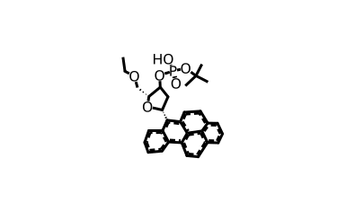 CCOC[C@H]1O[C@@H](c2c3ccccc3c3ccc4cccc5ccc2c3c54)CC1OP(=O)(O)OC(C)(C)C